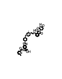 Cc1cccc(C(=O)Nc2cc3sc([C@H]4CC[C@H](CN5CCN(CCNc6cccc7c6C(=O)N(C6CCC(=O)NC6=O)C7=O)[C@@H](C)C5)CC4)nc3cc2C(C)(C)O)n1